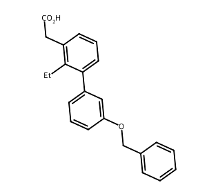 CCc1c(CC(=O)O)cccc1-c1cccc(OCc2ccccc2)c1